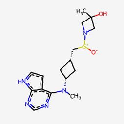 CN(c1ncnc2[nH]ccc12)[C@H]1C[C@@H](C[S+]([O-])N2CC(C)(O)C2)C1